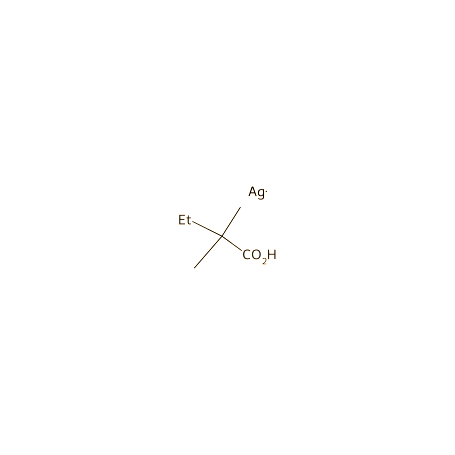 CCC(C)(C)C(=O)O.[Ag]